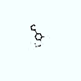 CN(C)/C=N\c1ccc(-c2cccs2)cc1C#N